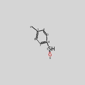 Cc1ccc([SiH]=O)cc1